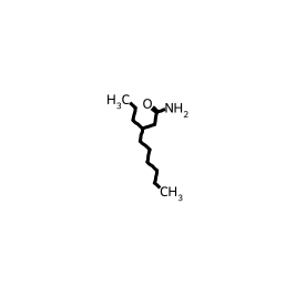 CCCCCCC(CCC)CC(N)=O